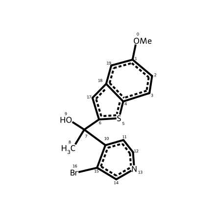 COc1ccc2sc(C(C)(O)c3ccncc3Br)cc2c1